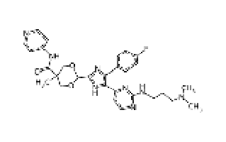 CN(C)CCCNc1nccc(-c2[nH]c(C3OCC(C)(C(=O)Nc4ccncc4)CO3)nc2-c2ccc(F)cc2)n1